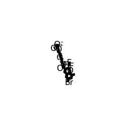 Cc1cc(Br)cc2c1O[C@H](C(F)(F)F)C(C(=O)OCCOCCO[N+](=O)[O-])=C2